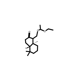 CCOC(C)OCC1C(=O)CC[C@H]2C(C)(C)CCC[C@]12C